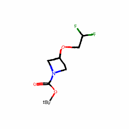 CC(C)(C)OC(=O)N1CC(OCC(F)F)C1